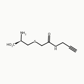 C#CCNC(=O)CSC[C@H](N)C(=O)O